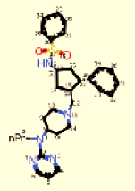 CCCN(c1ncccn1)C1CCN(C[C@H]2C[C@@H](NS(=O)(=O)c3ccccc3)C[C@@H]2c2ccccc2)CC1